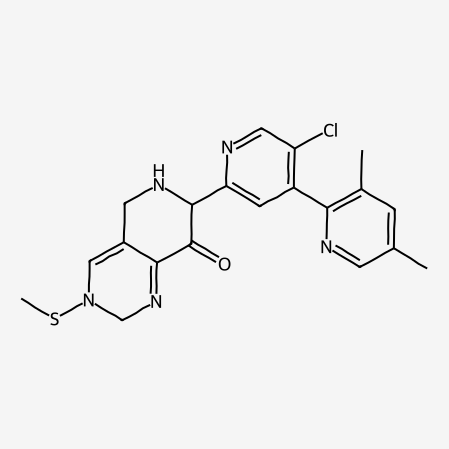 CSN1C=C2CNC(c3cc(-c4ncc(C)cc4C)c(Cl)cn3)C(=O)C2=NC1